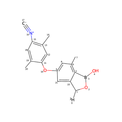 [2H]C1OB(O)c2c(C)cc(Oc3cc(C)c([N+]#[C-])cc3C)cc21